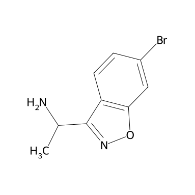 CC(N)c1noc2cc(Br)ccc12